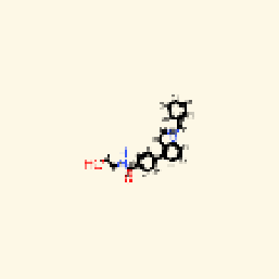 O=C(NCCO)c1ccc(-c2cccc3c2CCN3Cc2ccccc2)cc1